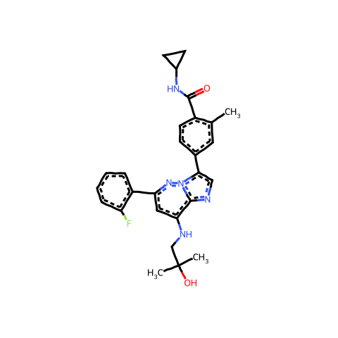 Cc1cc(-c2cnc3c(NCC(C)(C)O)cc(-c4ccccc4F)nn23)ccc1C(=O)NC1CC1